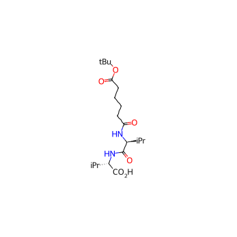 CC(C)[C@H](NC(=O)[C@@H](NC(=O)CCCCC(=O)OC(C)(C)C)C(C)C)C(=O)O